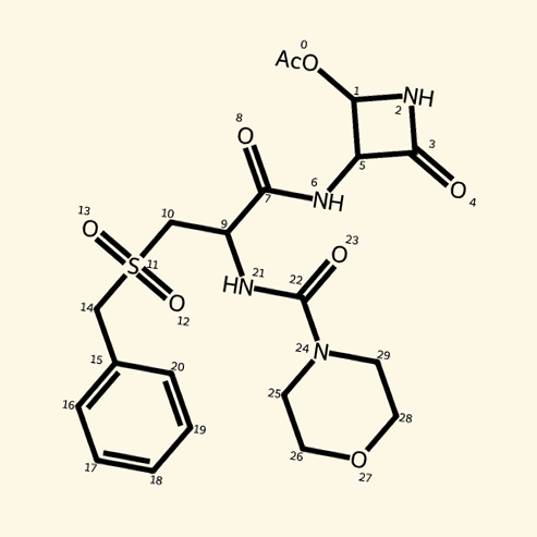 CC(=O)OC1NC(=O)C1NC(=O)C(CS(=O)(=O)Cc1ccccc1)NC(=O)N1CCOCC1